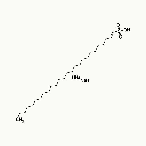 CCCCCCCCCCCCCCCCCCCCCCCCC=CS(=O)(=O)O.[NaH].[NaH]